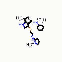 Cc1cccc2c(SCC/N=C3\CCCN3C)c[nH]c12.O=S(=O)(O)NC1CCCCC1